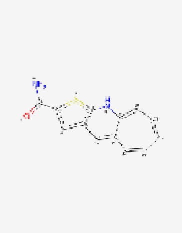 NC(=O)c1cc2c(s1)NC1=CC=CC=CC1=C2